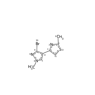 Cc1nc(-c2cn(C)nc2Br)cs1